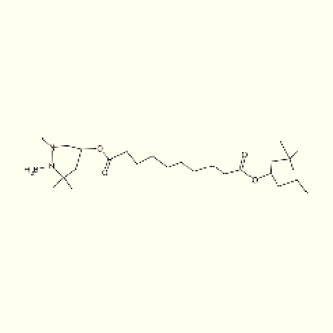 BN1N(C)CC(OC(=O)CCCCCCCCC(=O)OC(CCC)CC(C)(C)C)CC1(C)C